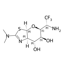 CN(C)C1=N[C@@H]2[C@@H](O)[C@H](O)[C@H]([C@@H](N)C(F)(F)F)O[C@@H]2S1